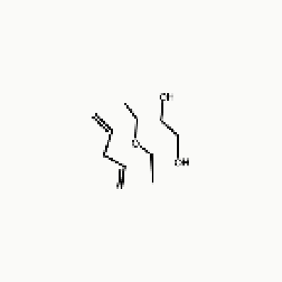 C=CCC=C.CCOCC.OCCO